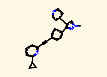 Cn1cc(-c2ccncc2)c(-c2ccc(C#Cc3cccc(C4CC4)n3)cc2)n1